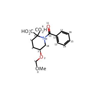 COCO[C@H]1CCC(C(=O)O)(C(=O)O)N(C(=O)c2ccccc2)C1